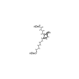 CCCCCCCCCCCCCCCCCC[n+]1ccn(CCC)c1CCCCCCCCCCCCCC